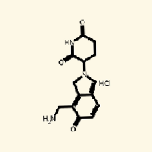 Cl.NCC1=C2CN(C3CCC(=O)NC3=O)C=C2C=CC1=O